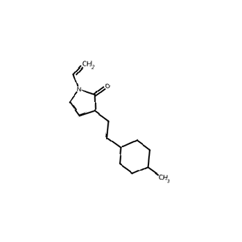 C=CN1CCC(CCC2CCC(C)CC2)C1=O